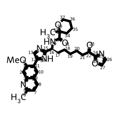 COc1cc2nc(C)ccc2cc1-c1cnc([C@H](CCCCCC(=O)c2ncco2)NC(=O)C2(C)CCCCO2)[nH]1